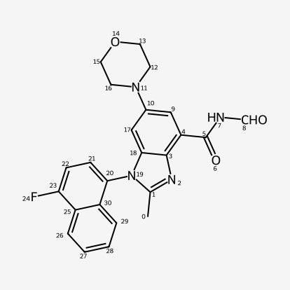 Cc1nc2c(C(=O)NC=O)cc(N3CCOCC3)cc2n1-c1ccc(F)c2ccccc12